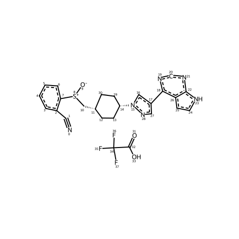 N#Cc1ccccc1[S+]([O-])C[C@H]1CC[C@@H](n2cc(-c3ncnc4[nH]ccc34)cn2)CC1.O=C(O)C(F)(F)F